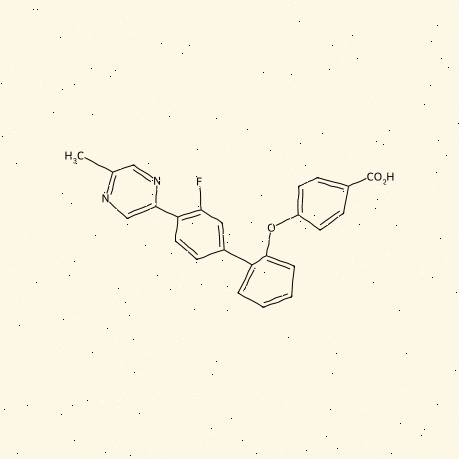 Cc1cnc(-c2ccc(-c3ccccc3Oc3ccc(C(=O)O)cc3)cc2F)cn1